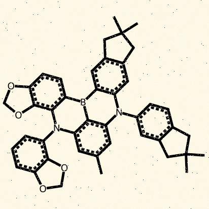 Cc1cc2c3c(c1)N(c1cccc4c1OCO4)c1c(ccc4c1OCO4)B3c1cc3c(cc1N2c1ccc2c(c1)CC(C)(C)C2)CC(C)(C)C3